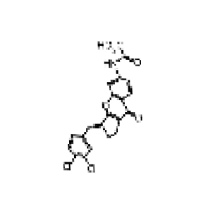 O=C(O)C(=O)Nc1ccc2c(=O)c3c(oc2c1)C(=Cc1ccc(Cl)c(Cl)c1)CC3